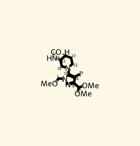 COCn1nc(C(OC)OC)c(I)c1N1CCC[C@@H](NC(=O)O)C1